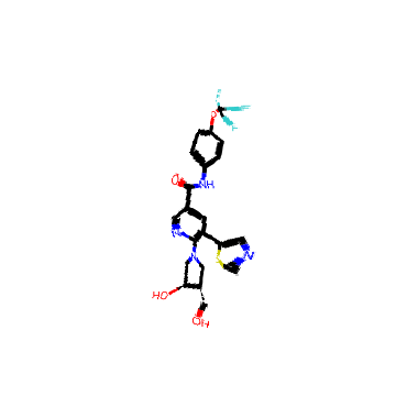 O=C(Nc1ccc(OC(F)(F)F)cc1)c1cnc(N2C[C@H](CO)[C@@H](O)C2)c(-c2cncs2)c1